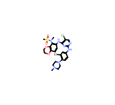 CCc1cc(Nc2ncc(Cl)c(Nc3ccc4c(c3N(C)S(C)(=O)=O)OCCO4)n2)ccc1N1CCN(C)CC1